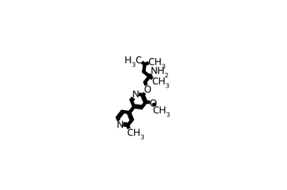 COc1cc(-c2ccnc(C)c2)cnc1OCC(C)(N)CC(C)C